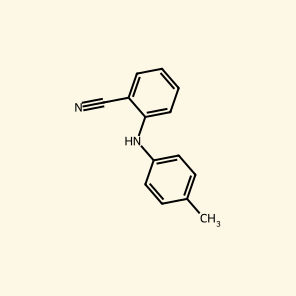 Cc1ccc(Nc2ccccc2C#N)cc1